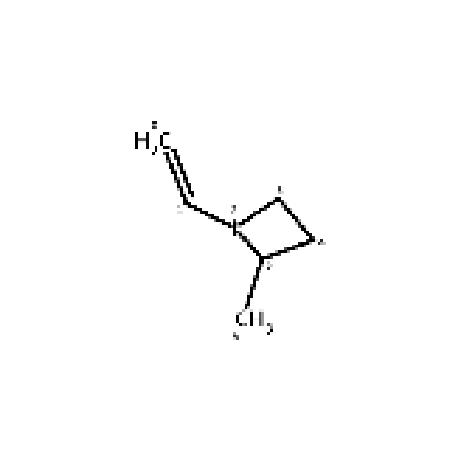 C=CI1CCC1C